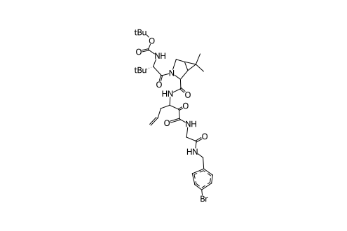 C=CCC(NC(=O)C1C2C(CN1C(=O)[C@@H](NC(=O)OC(C)(C)C)C(C)(C)C)C2(C)C)C(=O)C(=O)NCC(=O)NCc1ccc(Br)cc1